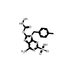 CCCNC(=O)Oc1nc2c(N)nc([S@](=N)(=O)CC)nc2n1Cc1ccc(C)cc1